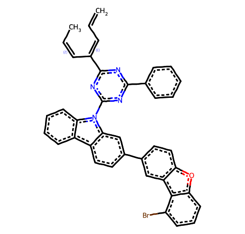 C=C/C=C(\C=C/C)c1nc(-c2ccccc2)nc(-n2c3ccccc3c3ccc(-c4ccc5oc6cccc(Br)c6c5c4)cc32)n1